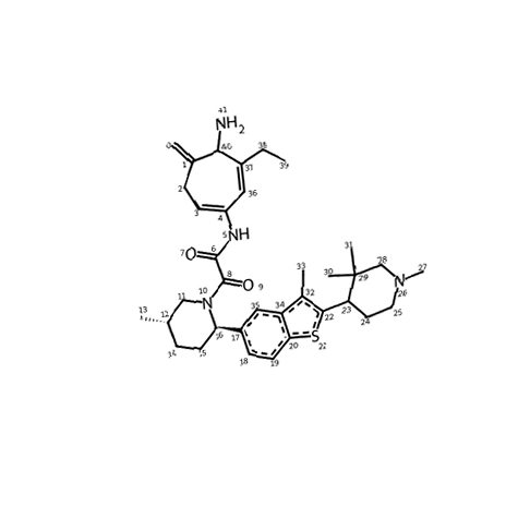 C=C1CC=C(NC(=O)C(=O)N2C[C@@H](C)CC[C@@H]2c2ccc3sc(C4CCN(C)CC4(C)C)c(C)c3c2)C=C(CC)C1N